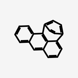 c1ccc2c3c4c(cccc4cc2c1)-c1ccc-3cc1